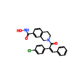 O=C(NO)c1ccc2c(c1)CN(C(=O)/C(=C\c1ccccc1)c1ccc(Cl)cc1)CC2